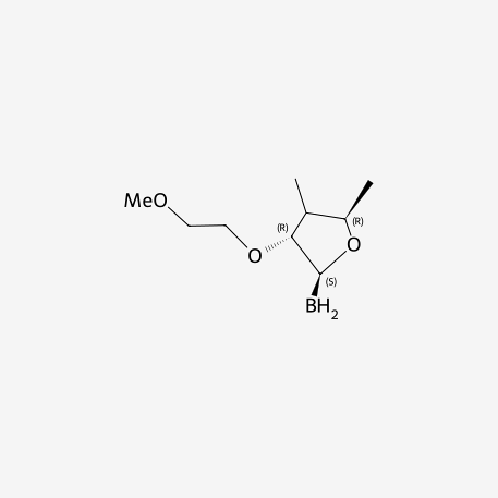 B[C@@H]1O[C@H](C)C(C)[C@H]1OCCOC